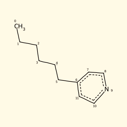 CCCC[CH]Cc1ccncc1